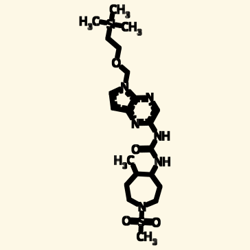 CC1CCN(S(C)(=O)=O)CCC1NC(=O)Nc1cnc2c(ccn2COCC[Si](C)(C)C)n1